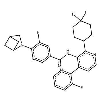 O=C(Nc1c(-c2ncccc2F)ccnc1C1CCC(F)(F)CC1)c1cnc(N2CC3CC2C3)c(F)c1